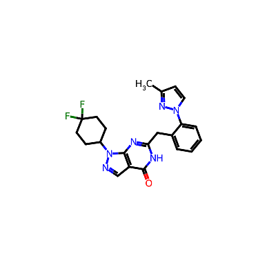 Cc1ccn(-c2ccccc2Cc2nc3c(cnn3C3CCC(F)(F)CC3)c(=O)[nH]2)n1